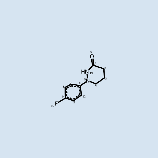 O=C1CCCN(c2ccc(F)cc2)N1